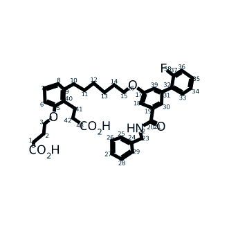 O=C(O)CCCOc1cccc(CCCCCCOc2cc(C(=O)NCc3ccccc3)cc(-c3ccccc3F)c2)c1CCC(=O)O